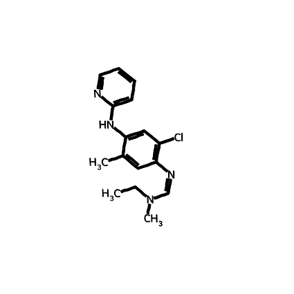 CCN(C)/C=N\c1cc(C)c(Nc2ccccn2)cc1Cl